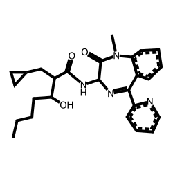 CCCCC(O)C(CC1CC1)C(=O)NC1N=C(c2ccccn2)c2ccccc2N(C)C1=O